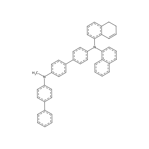 CN(c1ccc(-c2ccccc2)cc1)c1ccc(-c2ccc(N(c3cccc4c3C=CCC4)c3cccc4ccccc34)cc2)cc1